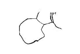 CC(=N)C1CCCCCCC1C